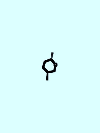 C[C@H]1CC[C@H](C)OC1